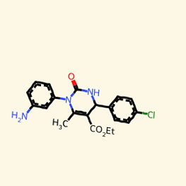 CCOC(=O)C1=C(C)N(c2cccc(N)c2)C(=O)NC1c1ccc(Cl)cc1